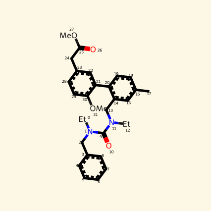 CCN(Cc1ccccc1)C(=O)N(CC)Cc1cc(C)ccc1-c1cc(CC(=O)OC)ccc1OC